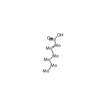 [O]=[Mo]([OH])/[Mo]=[Mo]/[Mo][Mo][Mo][Mo]